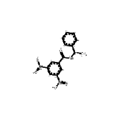 C[C@@H](NC(=O)c1cc([N+](=O)[O-])cc([N+](=O)[O-])c1)c1ccccc1